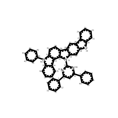 c1ccc(-c2cc(-c3ccccc3)nc(-n3c4cc5oc6ccccc6c5cc4c4ccc5c(c6ccccc6n5-c5ccccc5)c43)n2)cc1